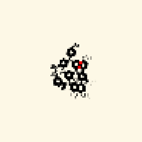 Cc1cc(N(c2cccc(N(c3ccc(C(C)(C)C)cc3)c3ccc(C(C)(C)C)cc3)c2)c2ccc(C(C)(C)C)cc2-c2ccc(C(C)(C)C)cc2)c(Cl)c(N(c2ccc3c(c2)C(C)(C)CCC3(C)C)c2csc3ccc(C(C)(C)C)cc23)c1